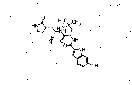 Cc1ccc2cc(C(=O)N[C@@H](CC(C)(C)C)C(=O)N[C@H](C#N)C[C@@H]3CCNC3=O)[nH]c2c1